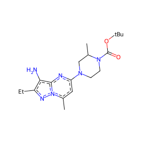 CCc1nn2c(C)cc(N3CCN(C(=O)OC(C)(C)C)C(C)C3)nc2c1N